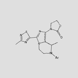 CC(=O)N1CCn2c(-c3nc(C)ns3)nc(N3CCOC3=O)c2C1C